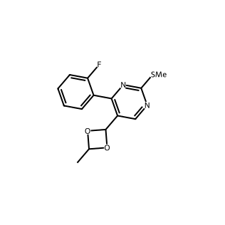 CSc1ncc(C2OC(C)O2)c(-c2ccccc2F)n1